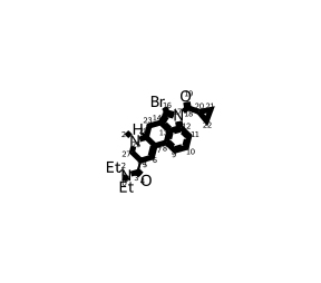 CCN(CC)C(=O)[C@@H]1C=C2c3cccc4c3c(c(Br)n4C(=O)C3CC3)C[C@H]2N(C)C1